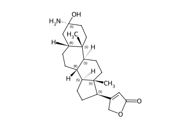 C[C@]12CC[C@](N)(O)C[C@H]1CC[C@@H]1[C@@H]2CC[C@]2(C)[C@@H](C3=CC(=O)OC3)CC[C@@H]12